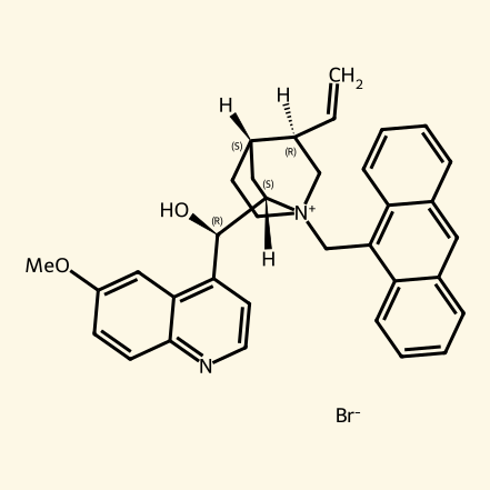 C=C[C@H]1C[N+]2(Cc3c4ccccc4cc4ccccc34)CC[C@H]1C[C@H]2[C@H](O)c1ccnc2ccc(OC)cc12.[Br-]